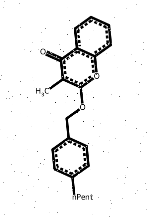 CCCCCc1ccc(COc2oc3ccccc3c(=O)c2C)cc1